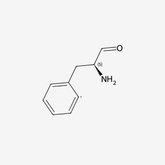 N[C@H](C=O)Cc1[c]cccc1